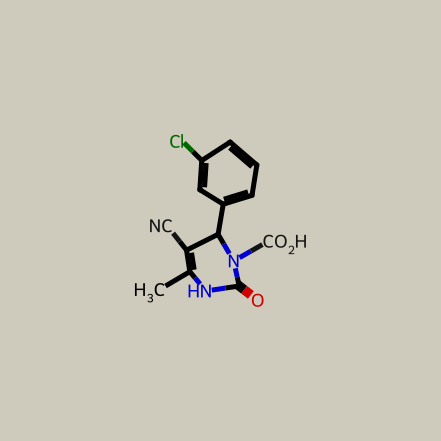 CC1=C(C#N)C(c2cccc(Cl)c2)N(C(=O)O)C(=O)N1